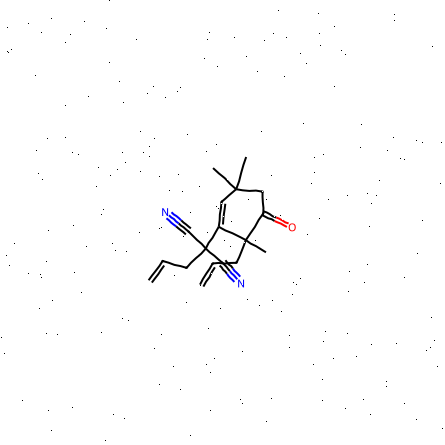 C=CCC(C#N)(C#N)C1=CC(C)(C)CC(=O)C1(C)CC=C